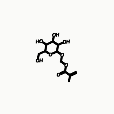 C=C(C)C(=O)OCOC1OC(CO)C(O)C(O)C1O